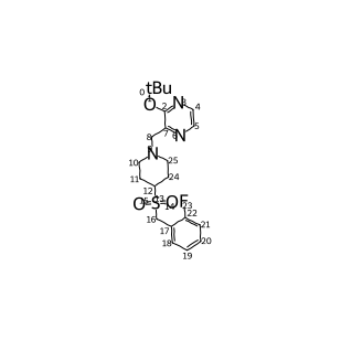 CC(C)(C)Oc1nccnc1CN1CCC(S(=O)(=O)Cc2ccccc2F)CC1